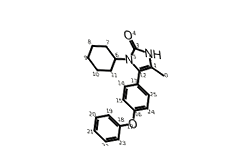 Cc1[nH]c(=O)n(C2CCCCC2)c1-c1ccc(Oc2ccccc2)cc1